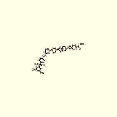 CC(C)(C)OC(=O)N1CCC2(CC1)CC(N1CCC3(CC1)CC(N1CCN(c4nccc(COc5ccc(C(C)(C)c6cc(Cl)cc(C#N)c6)cc5)n4)CC1)C3)C2